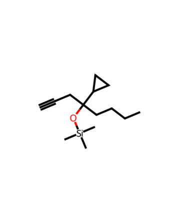 C#CCC(CCCC)(O[Si](C)(C)C)C1CC1